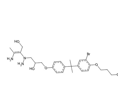 C/C(N)=C(\CO)N(N)CC(O)COc1ccc(C(C)(C)c2ccc(OCCCCl)c(Br)c2)cc1